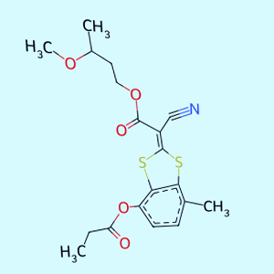 CCC(=O)Oc1ccc(C)c2c1S/C(=C(/C#N)C(=O)OCCC(C)OC)S2